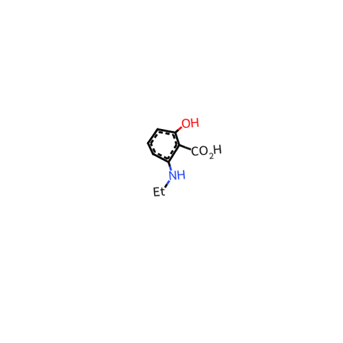 CCNc1cccc(O)c1C(=O)O